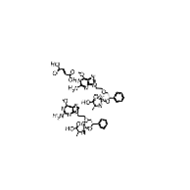 COc1nc(N)nc2c1ncn2CCOC[C@@H](O[P+]([O-])=N[C@@H](C)C(=O)O)c1ccccc1.COc1nc(N)nc2c1ncn2CCOC[C@@H](O[P+]([O-])=N[C@@H](C)C(=O)O)c1ccccc1.O=C(O)/C=C/C(=O)O